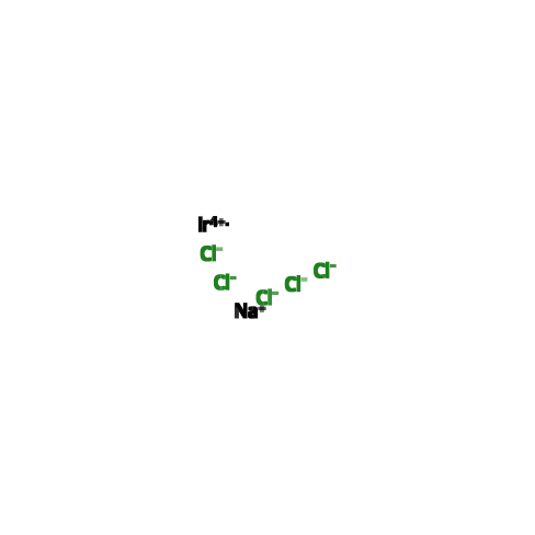 [Cl-].[Cl-].[Cl-].[Cl-].[Cl-].[Ir+4].[Na+]